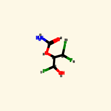 NC(=O)OC(C(O)F)C(F)F